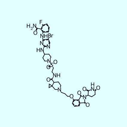 NC(=O)c1c(F)cccc1Nc1nc(NC2CCN(S(=O)(=O)CCNC(=O)C3CCN(CCCOc4cccc5c4C(=O)N(C4CCC(=O)NC4=O)C5=O)CC34CC4)CC2)ncc1Br